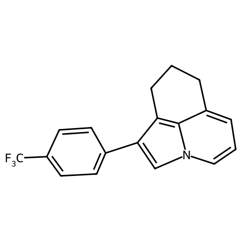 FC(F)(F)c1ccc(-c2cn3cccc4c3c2CCC4)cc1